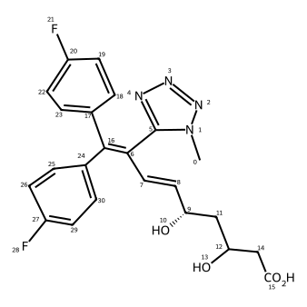 Cn1nnnc1C(C=C[C@@H](O)CC(O)CC(=O)O)=C(c1ccc(F)cc1)c1ccc(F)cc1